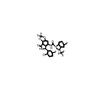 O=C1NC(c2cc(F)ccc2Cl)c2c(NC(=O)N3C[C@H](C(F)(F)F)c4cc(F)ccc43)cc3c(c21)OC(F)(F)O3